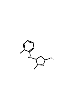 CC1=NC(N)CN1Nc1ccccc1C